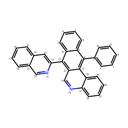 c1ccc(-c2c3ccccc3c(-c3cc4ccccc4cn3)c3cnc4ccccc4c23)cc1